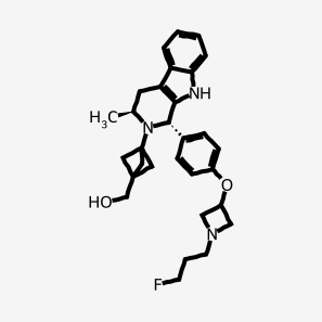 C[C@H]1Cc2c([nH]c3ccccc23)[C@H](c2ccc(OC3CN(CCCF)C3)cc2)N1C12CC(CO)(C1)C2